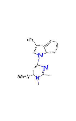 CCCc1cn(C2=CC(NC)N(C)C(C)=N2)c2ccccc12